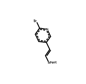 CCCCCC=Cc1ccc(Br)nc1